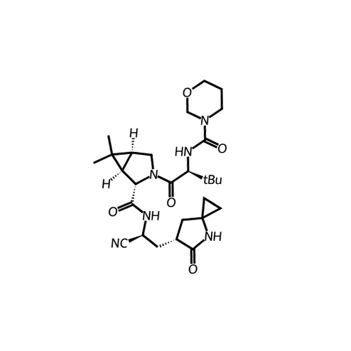 CC(C)(C)[C@H](NC(=O)N1CCCOC1)C(=O)N1C[C@H]2[C@@H]([C@H]1C(=O)N[C@H](C#N)C[C@@H]1CC3(CC3)NC1=O)C2(C)C